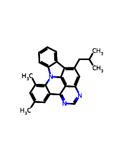 Cc1cc(C)c2c(c1)c1ncnc3cc(CC(C)C)c4c5ccccc5n2c4c31